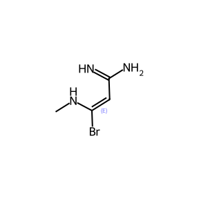 CN/C(Br)=C\C(=N)N